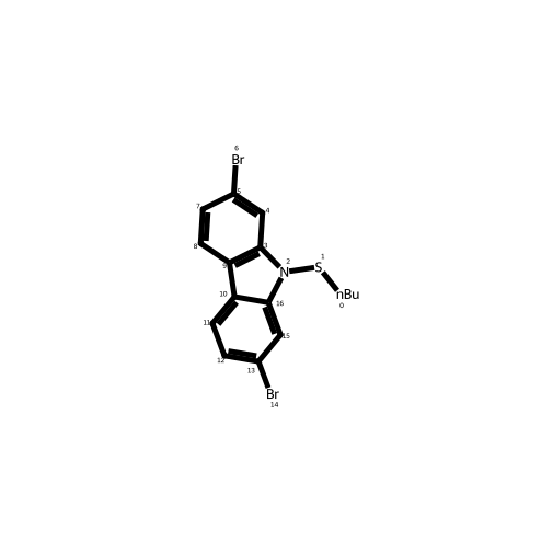 CCCCSn1c2cc(Br)ccc2c2ccc(Br)cc21